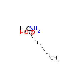 CCCCCCCCCCCCCCCCC(C)(O)C(N)=O